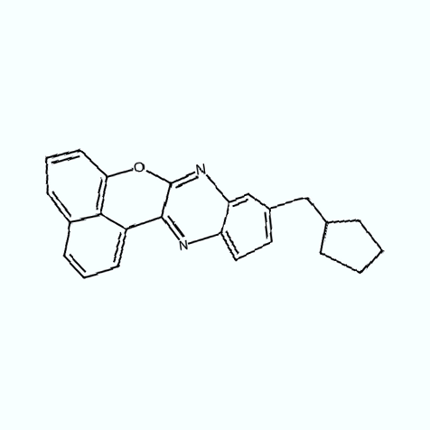 c1cc2c3c(cccc3c1)-c1nc3ccc(CC4CCCC4)cc3nc1O2